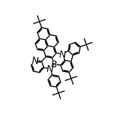 CC(C)(C)c1ccc(N2B3c4c(c5ccc6cc(C(C)(C)C)cc7ccc(c4-n4c8ccc(C(C)(C)C)cc8c8cc(C(C)(C)C)cc3c84)c5c67)-c3ncccc32)cc1